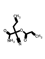 C=CCC(C#N)(OC(=O)C=C)C(N)=O